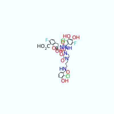 O=C(NCCCN1CCN(C(=O)N[C@@H](C(=O)N[C@H]2Cc3ccc(F)c(C(=O)O)c3OB2O)c2cc(F)c(O)c(O)c2Cl)C(=O)C1=O)c1cccc(O)c1Cl